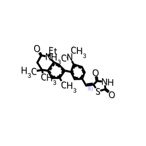 CCN1C(=O)CC(C)(C)c2cc(C)c(-c3cc(/C=C4/SC(=O)NC4=O)ccc3N(C)C)cc21